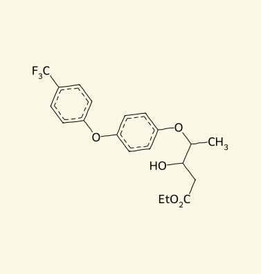 CCOC(=O)CC(O)C(C)Oc1ccc(Oc2ccc(C(F)(F)F)cc2)cc1